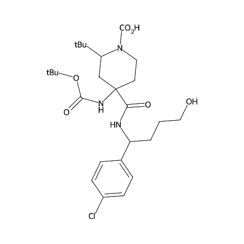 CC(C)(C)OC(=O)NC1(C(=O)NC(CCCO)c2ccc(Cl)cc2)CCN(C(=O)O)C(C(C)(C)C)C1